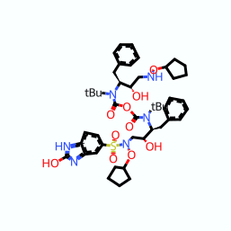 CC(C)(C)N(C(=O)OC(=O)N([C@@H](Cc1ccccc1)[C@@H](O)CN(OC1CCCC1)S(=O)(=O)c1ccc2[nH]c(O)nc2c1)C(C)(C)C)[C@@H](Cc1ccccc1)[C@@H](O)CNOC1CCCC1